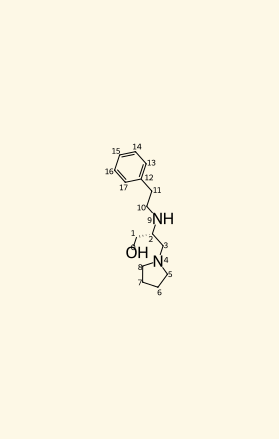 OC[C@@H](CN1CCCC1)NCCc1ccccc1